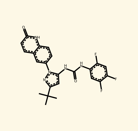 CC(C)(C)c1cc(NC(=O)Nc2cc(F)c(F)cc2F)n(-c2ccc3[nH]c(=O)ccc3c2)n1